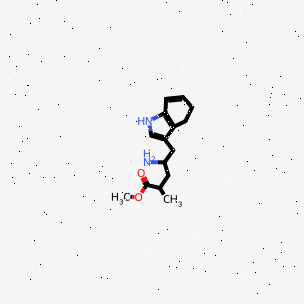 COC(=O)C(C)CC(N)Cc1c[nH]c2c1CCC=C2